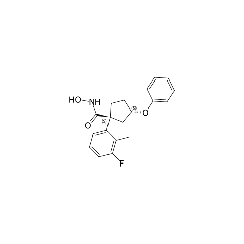 Cc1c(F)cccc1[C@]1(C(=O)NO)CC[C@H](Oc2ccccc2)C1